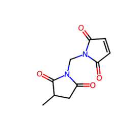 CC1CC(=O)N(CN2C(=O)C=CC2=O)C1=O